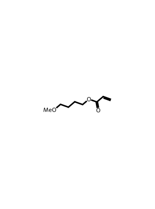 C=CC(=O)OCCCCOC